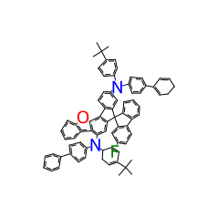 CC(C)(C)C1=CCC(N(c2ccc(-c3ccccc3)cc2)c2cc3c(c4oc5ccccc5c24)-c2ccc(N(c4ccc(C5=CCCC=C5)cc4)c4ccc(C(C)(C)C)cc4)cc2C32c3ccccc3-c3ccc(F)cc32)C=C1